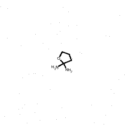 NC1(N)CCCO1